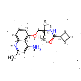 Cc1cc(N)c2c(OCC(C)(C)NC(=O)C3CCC3)cccc2n1